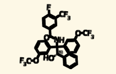 O=C(NC(c1cccc(OC(F)(F)F)c1)(c1cccc(OC(F)(F)F)c1)[C@@H](O)c1ccccc1)c1ccc(F)c(C(F)(F)F)c1